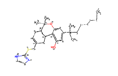 CCCCCCC(C)(C)c1cc(O)c2c(c1)OC(C)(C)C1CC=C(CSc3ncc[nH]3)CC21